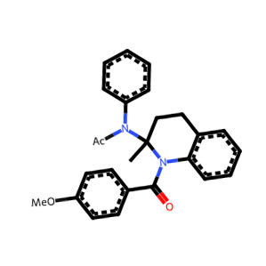 COc1ccc(C(=O)N2c3ccccc3CCC2(C)N(C(C)=O)c2ccccc2)cc1